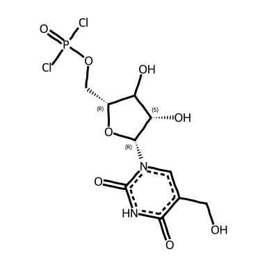 O=c1[nH]c(=O)n([C@@H]2O[C@H](COP(=O)(Cl)Cl)C(O)[C@@H]2O)cc1CO